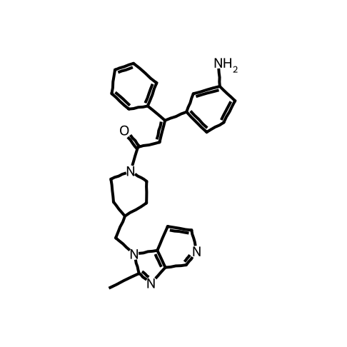 Cc1nc2cnccc2n1CC1CCN(C(=O)/C=C(\c2ccccc2)c2cccc(N)c2)CC1